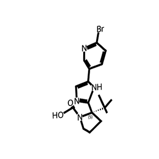 CC(C)(C)[C@]1(c2ncc(-c3ccc(Br)nc3)[nH]2)CCCN1C(=O)O